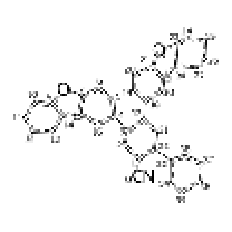 N#Cc1cc(-c2ccc3oc4ccccc4c3c2)c(-c2ccc3oc4ccccc4c3c2)cc1-c1ccccc1